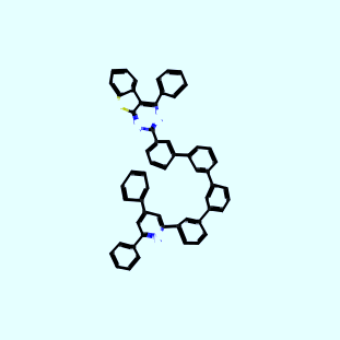 c1ccc(-c2cc(-c3ccccc3)nc(-c3cccc(-c4cccc(-c5cccc(-c6cccc(-c7nc(-c8ccccc8)c8c(n7)sc7ccccc78)c6)c5)c4)c3)c2)cc1